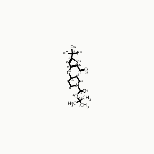 CC(C)(C)OC(=O)N1CCC(Oc2cc(C(F)(F)F)sc2C=O)CC1